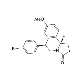 COc1ccc2c(c1)[C@H](c1ccc(Br)cc1)CN1C(=O)CC[C@@H]21